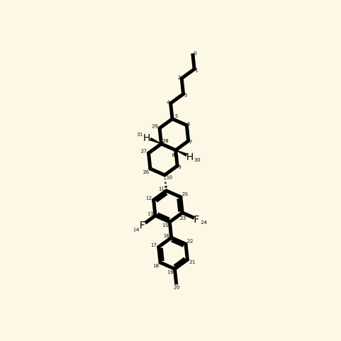 CCCCCC1CC[C@@H]2C[C@H](c3cc(F)c(-c4ccc(C)cc4)c(F)c3)CC[C@@H]2C1